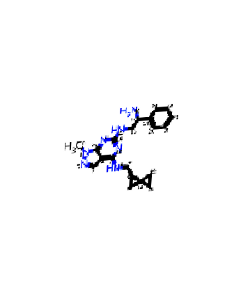 Cn1ncc2c(NCC3CC34CC4)nc(NCC(N)c3ccccc3)nc21